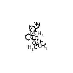 CCC1(n2cnc3nncc-3c2)CCCCN1C(=O)OC(C)(C)C